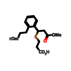 CCCCCCCCCCCCc1ccccc1C(CC(=O)OC)SCCC(=O)O